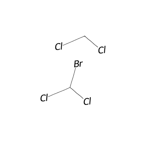 ClC(Cl)Br.ClCCl